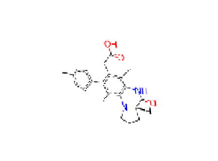 Cc1ccc(-c2c(C)c3c(c(C)c2CC(=O)O)NC(=O)[C@@H]2CCCN32)cc1